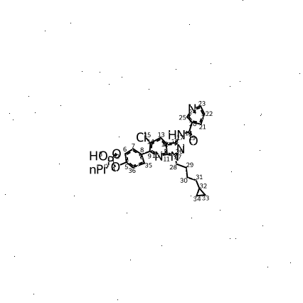 CCCP(=O)(O)Oc1ccc(-c2nc3c(cc2Cl)c(NC(=O)c2cccnc2)nn3CCCCC2CC2)cc1